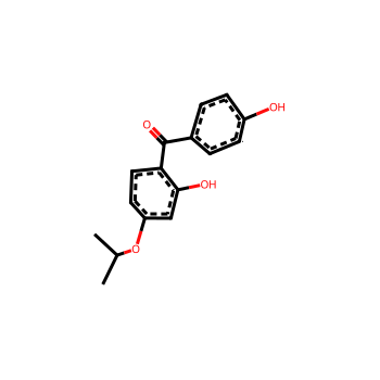 CC(C)Oc1ccc(C(=O)c2c[c]c(O)cc2)c(O)c1